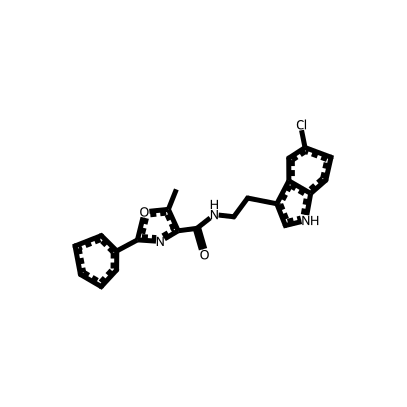 Cc1oc(-c2ccccc2)nc1C(=O)NCCc1c[nH]c2ccc(Cl)cc12